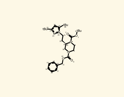 CC(C)(C)OC(=O)N1CCN(C(=O)OCc2ccccc2)C[C@H]1CCn1nc(C(C)(C)C)cc1C(C)(C)C